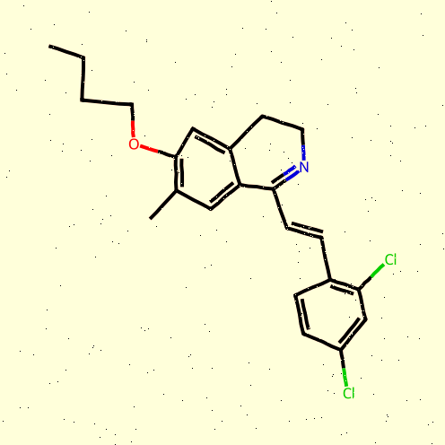 CCCCOc1cc2c(cc1C)C(/C=C/c1ccc(Cl)cc1Cl)=NCC2